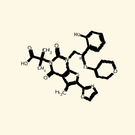 Cc1c(-c2ncco2)sc2c1c(=O)n(C(C)(C)C(=O)O)c(=O)n2C[C@H](OC1CCOCC1)c1ccccc1O